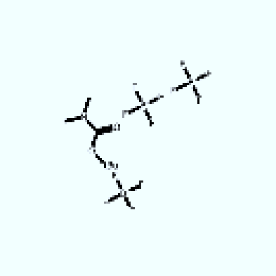 CN(C)C(=O)OC(C)(C)C.F[B-](F)(F)F.F[B-](F)(F)F.F[B-](F)(F)F